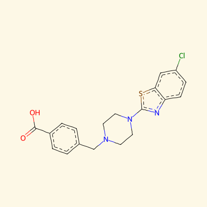 O=C(O)c1ccc(CN2CCN(c3nc4ccc(Cl)cc4s3)CC2)cc1